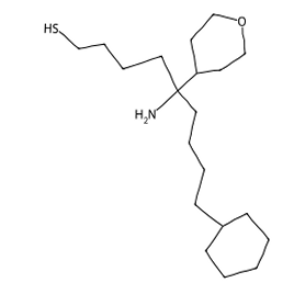 NC(CCCCS)(CCCCC1CCCCC1)C1CCOCC1